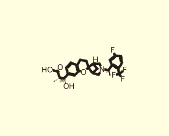 C[C@H](C(=O)O)[C@@H](O)c1ccc2c(c1)OC1(CC2)C2C[C@H]1CN([C@H](C)c1cc(F)ccc1C(F)(F)F)C2